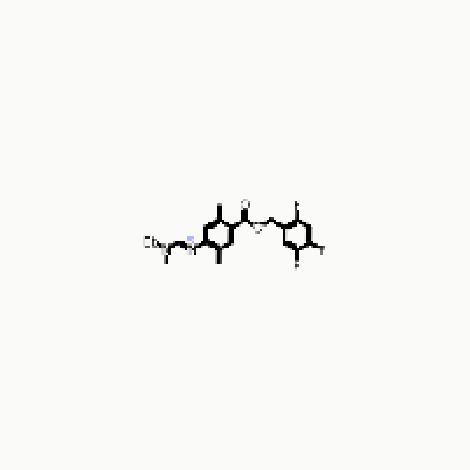 CCN(C)/C=N/c1cc(C)c(C(=O)OCc2cc(F)c(F)cc2F)cc1C